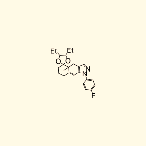 CCC1OC2(CCCC3=Cc4c(cnn4-c4ccc(F)cc4)CC32C)OC1CC